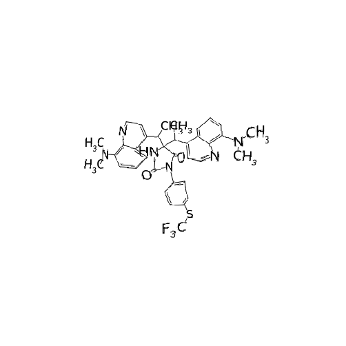 CC(c1ccnc2c(N(C)C)cccc12)C1(C(C)c2ccnc3c(N(C)C)cccc23)NC(=O)N(c2ccc(SC(F)(F)F)cc2)C1=O